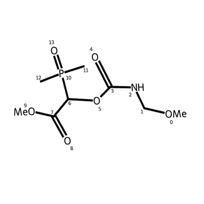 COCNC(=O)OC(C(=O)OC)P(C)(C)=O